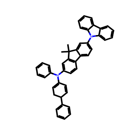 CC1(C)c2cc(N(C3=CCC(c4ccccc4)C=C3)c3ccccc3)ccc2-c2ccc(-n3c4ccccc4c4ccccc43)cc21